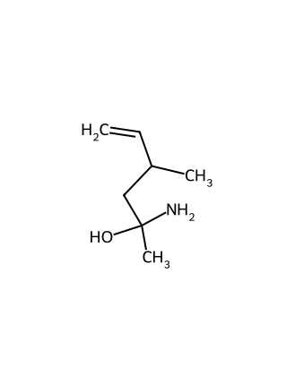 C=CC(C)CC(C)(N)O